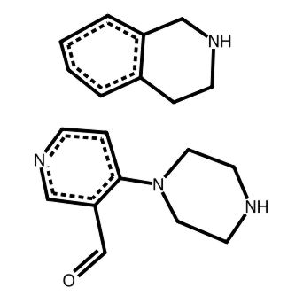 O=Cc1cnccc1N1CCNCC1.c1ccc2c(c1)CCNC2